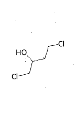 OC(CCl)CCCl